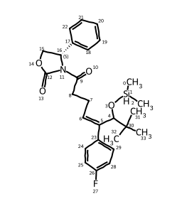 C[SiH](C)OC(C(=CCCC(=O)N1C(=O)OC[C@@H]1c1ccccc1)c1ccc(F)cc1)C(C)(C)C